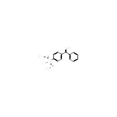 C=C(c1ccccc1)c1ccc([Si](CC)(OC(C)C)OC(C)C)cc1